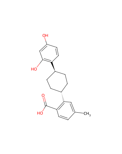 Cc1ccc(C(=O)O)c([C@H]2CC[C@H](c3ccc(O)cc3O)CC2)c1